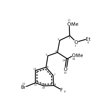 CCOC(CC(Cc1cc(F)cc(Br)c1)C(=O)OC)OC